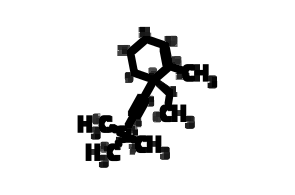 CC[C@@]1(C#C[Si](C)(C)C)CCCC=C1C